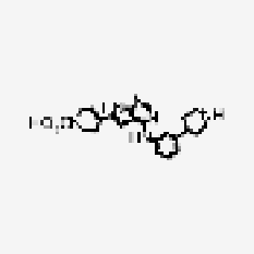 O=C(O)N1CC=C(c2cc3c(Nc4cccc(C5CCNCC5)c4)ncnc3[nH]2)CC1